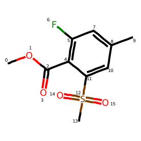 COC(=O)c1c(F)cc(C)cc1S(C)(=O)=O